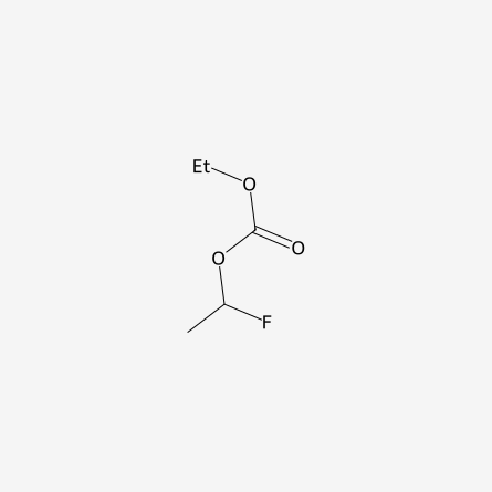 CCOC(=O)OC(C)F